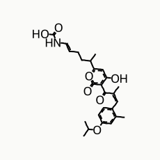 CC(=Cc1ccc(OC(C)C)cc1C)C(=O)c1c(O)cc(C(C)CCC=CNC(=O)O)oc1=O